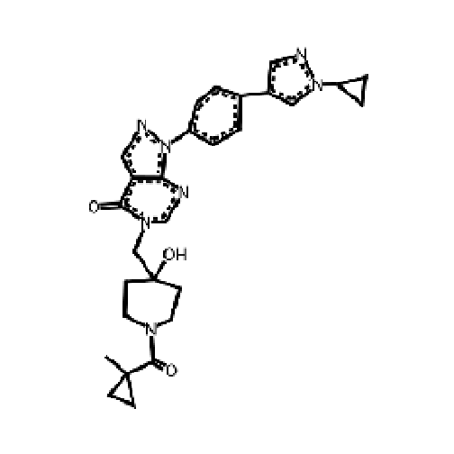 CC1(C(=O)N2CCC(O)(Cn3cnc4c(cnn4-c4ccc(-c5cnn(C6CC6)c5)cc4)c3=O)CC2)CC1